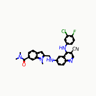 CN(C)C(=O)c1ccc2cc(CNc3ccc4ncc(C#N)c(Nc5ccc(F)c(Cl)c5)c4c3)n(C)c2c1